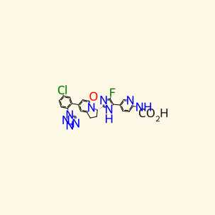 O=C(O)Nc1ccc(-c2[nH]c([C@@H]3CCc4cc(-c5cc(Cl)ccc5-n5cnnn5)cc(=O)n43)nc2F)cn1